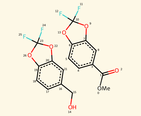 COC(=O)c1ccc2c(c1)OC(F)(F)O2.OCc1ccc2c(c1)OC(F)(F)O2